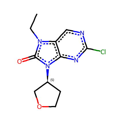 CCn1c(=O)n([C@H]2CCOC2)c2nc(Cl)ncc21